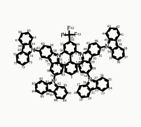 Fc1cccc(F)c1-c1c(-n2c3ccc(-n4c5ccccc5c5ccccc54)cc3c3cc(-n4c5ccccc5c5ccccc54)ccc32)cc(C(F)(F)F)cc1-n1c2ccc(-n3c4ccccc4c4ccccc43)cc2c2cc(-n3c4ccccc4c4ccccc43)ccc21